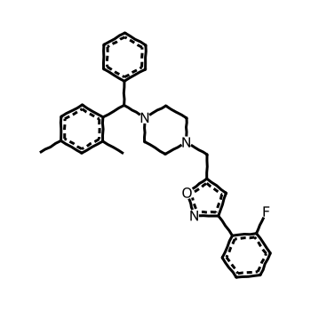 Cc1ccc(C(c2ccccc2)N2CCN(Cc3cc(-c4ccccc4F)no3)CC2)c(C)c1